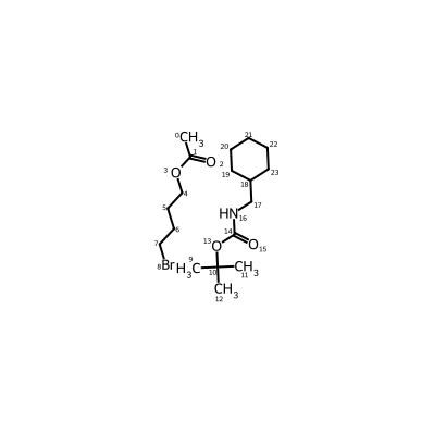 CC(=O)OCCCCBr.CC(C)(C)OC(=O)NCC1CCCCC1